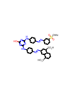 COS(=O)(=O)c1cccc(/N=N/c2ccc(Nc3nc(O)nc(Nc4ccc(/N=N/c5cc(S(=O)(=O)O)c6cccc(S(=O)(=O)O)c6c5)cc4)n3)cc2)c1